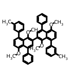 COc1ccc(-c2cccc(C)c2)c2c(OC)c(-c3cc(-c4ccccc4)c4c(OC)ccc(-c5cccc(C)c5)c4c3OC)cc(-c3ccccc3)c12